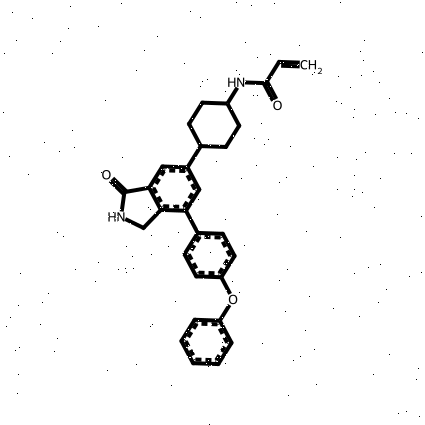 C=CC(=O)NC1CCC(c2cc3c(c(-c4ccc(Oc5ccccc5)cc4)c2)CNC3=O)CC1